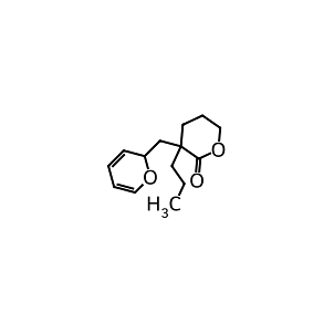 CCCC1(CC2C=CC=CO2)CCCOC1=O